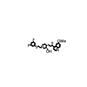 COc1ccc2nccc([C@@H](F)CC[C@@H]3CCN(CCSc4cc(F)cc(F)c4)C[C@@H]3CO)c2c1